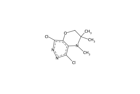 CN1c2c(Cl)nnc(Cl)c2OCC1(C)C